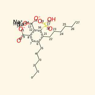 CCCCCCc1cc(C(=O)[O-])c(C(=O)[O-])c(S(=O)(=O)O)c1CCCCCC.[Na+].[Na+]